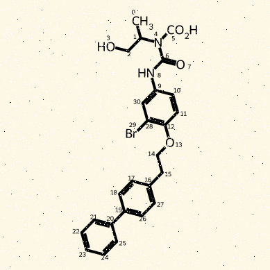 CC(CO)N(C(=O)O)C(=O)Nc1ccc(OCCc2ccc(-c3ccccc3)cc2)c(Br)c1